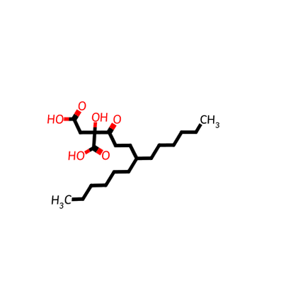 CCCCCCC(CCCCCC)CCC(=O)C(O)(CC(=O)O)C(=O)O